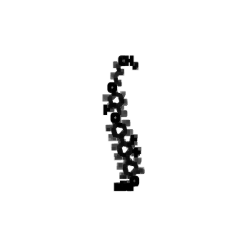 C=CCCCOc1ccc(COc2ccc(-c3ccc(-c4ccc(OCCCC)cc4)c(F)c3F)cc2)c(F)c1